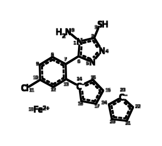 Nn1c(S)nnc1-c1ccc(Cl)cc1-[c-]1cccc1.[Fe+2].c1cc[cH-]c1